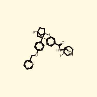 O=C(N[C@@H]1CN2CCC1CC2)c1ccc([C@]2(c3ccc(OCc4ccccn4)cc3)C[C@@H]3CC[C@H]2C3)cc1